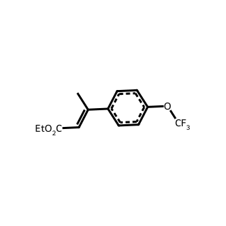 CCOC(=O)C=C(C)c1ccc(OC(F)(F)F)cc1